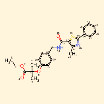 CCOC(=O)C(C)(C)Oc1ccc(CNC(=O)c2sc(-c3ccccc3)nc2C)cc1